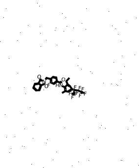 CCc1cc(C(F)(C(F)(F)F)C(F)(F)C(F)(F)F)cc(C)c1NC(=O)c1ccc(CN2C(=O)c3ccccc3C2=O)c(F)c1